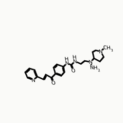 CN1CCC(N(N)CCNC(=O)Nc2ccc(C(=O)C=Cc3ccccn3)cc2)CC1